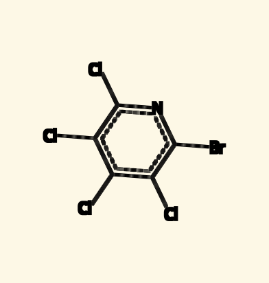 Clc1nc(Br)c(Cl)c(Cl)c1Cl